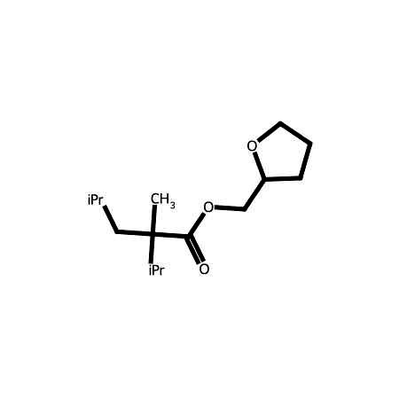 CC(C)CC(C)(C(=O)OCC1CCCO1)C(C)C